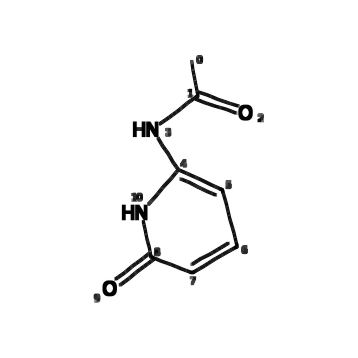 CC(=O)Nc1cccc(=O)[nH]1